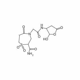 NC(=O)C1CN(CC(=O)NC2CC(=O)OC2O)C(=O)[CH]CS1(=O)=O